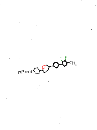 CCCCCC1CCC(C2CCC(c3ccc(-c4ccc(C)c(F)c4F)cc3)CO2)CC1